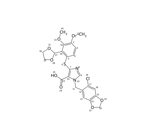 COc1ccc(Sc2ncn(Cc3cc4c(cc3Cl)OCO4)c2C(=O)O)c(C2OCCO2)c1OC